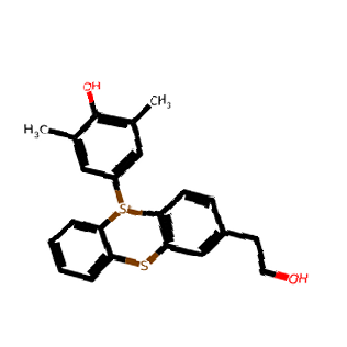 Cc1cc([S+]2c3ccccc3Sc3cc(CCO)ccc32)cc(C)c1O